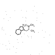 C[C@H](Cn1ccc2ccccc21)N(C)C